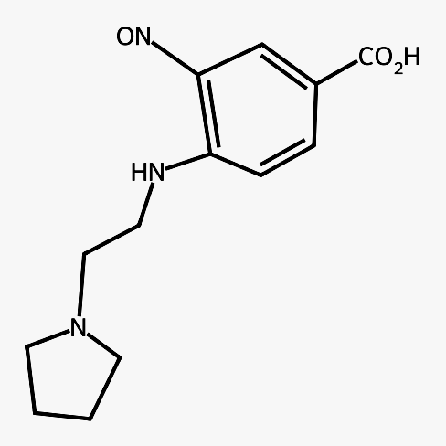 O=Nc1cc(C(=O)O)ccc1NCCN1CCCC1